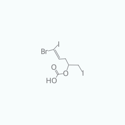 O=C(O)OC(CI)CC=C(Br)I